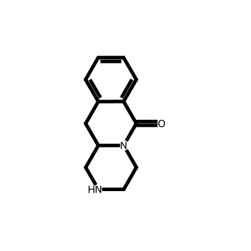 O=C1c2ccccc2CC2CNCCN12